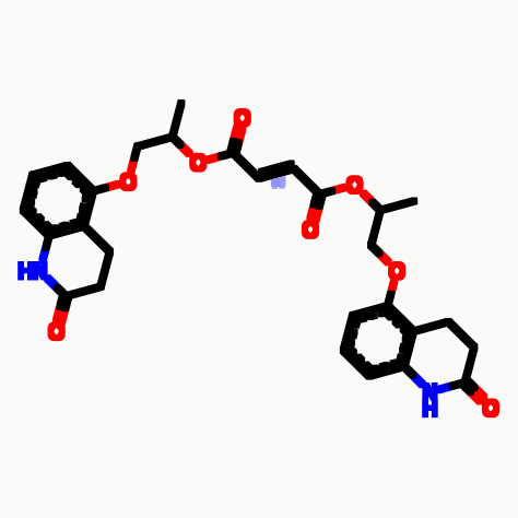 CC(COc1cccc2c1CCC(=O)N2)OC(=O)/C=C/C(=O)OC(C)COc1cccc2c1CCC(=O)N2